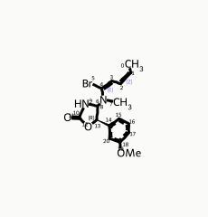 C/C=C\C=C(\Br)N(C)C1NC(=O)O[C@@H]1c1cccc(OC)c1